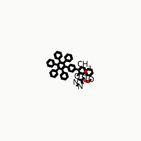 Cc1ccc2c(c1-c1ccc(-c3c(-c4ccccc4)c(-c4ccccc4)c(-c4ccccc4)c(-c4ccccc4)c3-c3ccccc3)cc1)Oc1ncncc1[Si]21c2ccccc2Oc2ccccc21